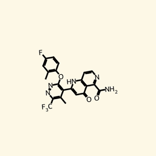 Cc1cc(F)ccc1Oc1nnc(C(F)(F)F)c(C)c1-c1cc(=O)c2c(C(N)=O)nccc2[nH]1